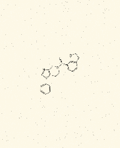 O=C(c1cccc2c1OCC2)N1CCc2c(ncn2-c2ccccc2)C1